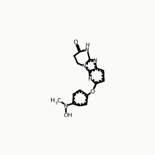 CN(O)c1ccc(Oc2ccc3nc4n(c3n2)CCC(=O)N4)cc1